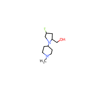 CN1CCC(N2CC(F)CC2CO)CC1